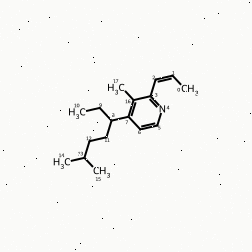 C/C=C\c1nccc(C(CC)CCC(C)C)c1C